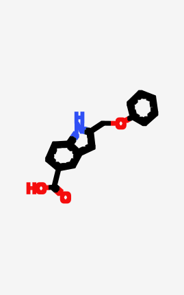 O=C(O)c1ccc2[nH]c(COc3ccccc3)cc2c1